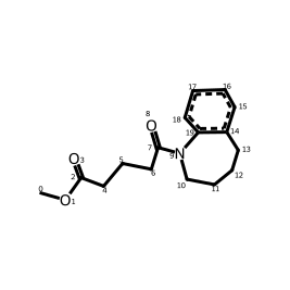 COC(=O)CCCC(=O)N1CCCCc2ccccc21